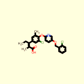 CCC(=C(C)C(=O)O)c1cc(C)c(Oc2ccc(OCc3ccccc3Cl)cn2)c(Cl)c1